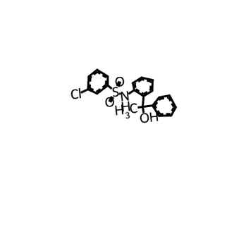 CC(O)(c1ccccc1)c1ccccc1NS(=O)(=O)c1cccc(Cl)c1